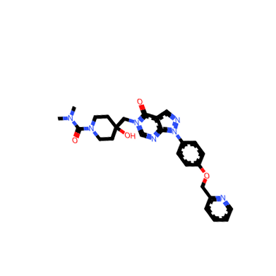 CN(C)C(=O)N1CCC(O)(Cn2cnc3c(cnn3-c3ccc(OCc4ccccn4)cc3)c2=O)CC1